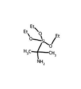 CCO[Si](OCC)(OCC)C(C)(C)N